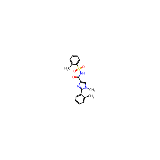 Cc1ccccc1-c1nc(C(=O)NS(=O)(=O)c2ccccc2C)cn1C